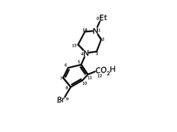 CCN1CCN(c2ccc(Br)cc2C(=O)O)CC1